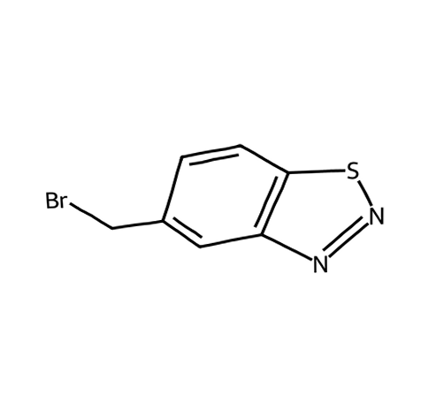 BrCc1ccc2snnc2c1